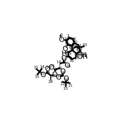 COc1ccc2c3c1O[C@H]1C(OC(=O)C[C@H](OC(=O)OC(C)(C)C)C(=O)O[C@@H](C)C(=O)OC(C)(C)C)=CC[C@@]4(O)[C@@H](C2)N(C)CC[C@]314